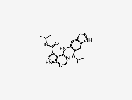 CC(C)NC(=O)c1c[nH]c2ncnc(Nc3cc4cn[nH]c4cc3OC(C)C)c12